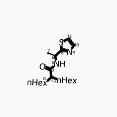 CCCCCCC(CCCCCC)C(=O)N[C@@H](C)c1nccs1